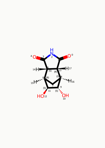 O=C1NC(=O)[C@H]2[C@H]3C[C@H]([C@H](O)[C@H]3O)[C@@H]12